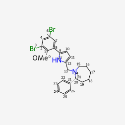 COc1c(Br)cc(Br)cc1-c1ccc(CN2CCCCC[C@@H]2c2ccccc2)[nH]1